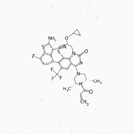 C=CC(=O)N1[C@H](C)CN(c2nc(=O)n3c4c(c(-c5ccc(F)c6sc(N)c(C#N)c56)c(C(F)(F)F)cc24)SCC(OC2CC2)C3)C[C@@H]1C